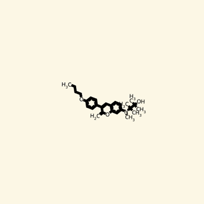 C=C1Oc2cc(N(C)C(C)(C)C(C)(C)O)ccc2C=C1c1ccc(OCCCC)cc1